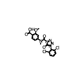 COc1cc(N(C)C(=O)n2nnn(-c3c(Cl)cccc3Cl)c2=O)ccc1C(=O)O